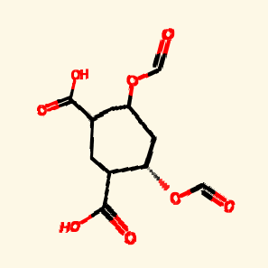 O=COC1C[C@H](OC=O)C(C(=O)O)CC1C(=O)O